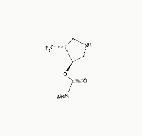 CNC(=O)O[C@@H]1CNC[C@H]1C(F)(F)F